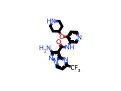 Nc1nn2ccc(C(F)(F)F)nc2c1C(=O)Nc1cnccc1OC1CCNCC1